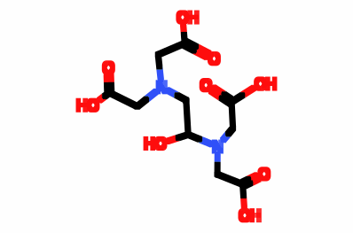 O=C(O)CN(CC(=O)O)CC(O)N(CC(=O)O)CC(=O)O